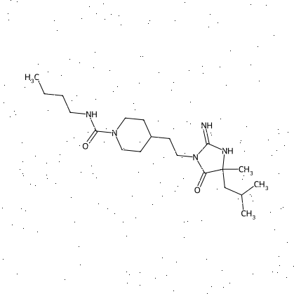 CCCCNC(=O)N1CCC(CCN2C(=N)NC(C)(CC(C)C)C2=O)CC1